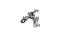 CC(C)c1cnn2c(NCc3ccccc3)cc(NCC(O)CO)nc12